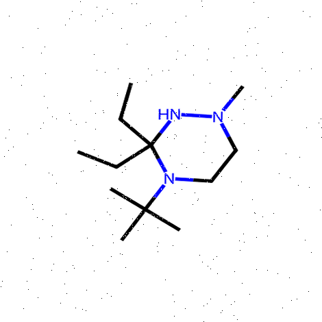 CCC1(CC)NN(C)CCN1C(C)(C)C